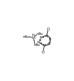 CCC[CH2][SnH]([CH2]CCC)[CH2]CCC.Clc1ccc(Cl)nn1